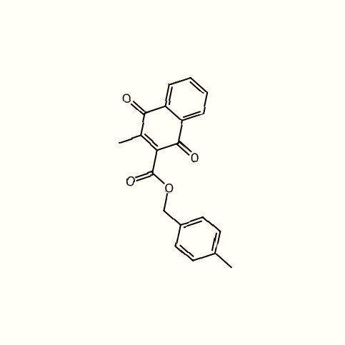 CC1=C(C(=O)OCc2ccc(C)cc2)C(=O)c2ccccc2C1=O